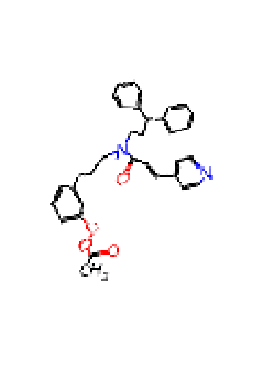 CC(=O)OOc1cccc(CCCN(CCC(c2ccccc2)c2ccccc2)C(=O)/C=C/c2ccncc2)c1